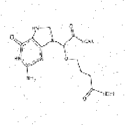 CCCCCCCCC(=O)CCCOC(C(=O)CCCCCCCC)N1CNc2c1nc(N)[nH]c2=O